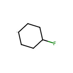 F[C]1CC[CH]CC1